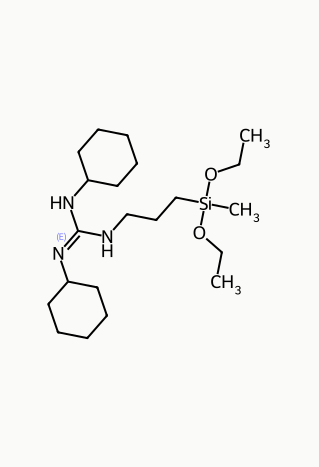 CCO[Si](C)(CCCN/C(=N\C1CCCCC1)NC1CCCCC1)OCC